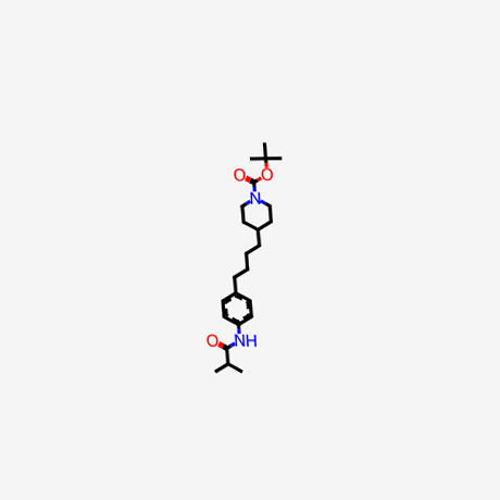 CC(C)C(=O)Nc1ccc(CCCCC2CCN(C(=O)OC(C)(C)C)CC2)cc1